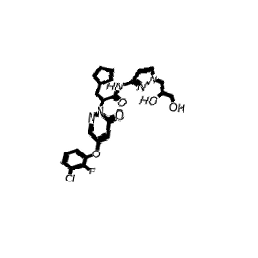 O=C(Nc1ccn(CC(O)CO)n1)C(CC1CCCC1)n1ncc(Oc2cccc(Cl)c2F)cc1=O